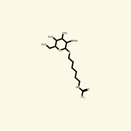 CC(=O)NC1C(SCCCCCCNC(=O)C(F)(F)F)OC(COC(C)=O)C(OC(C)=O)C1OC(C)=O